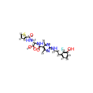 COC(=O)[C@H](CNC(=O)c1cccs1)NC(=O)c1c(C)nc(NCCCc2cccc(O)c2F)nc1C